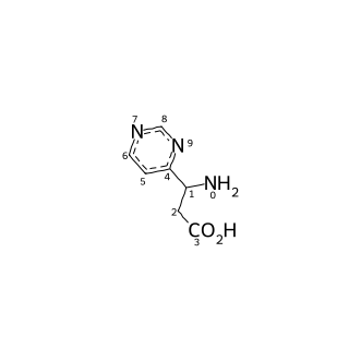 NC(CC(=O)O)c1ccncn1